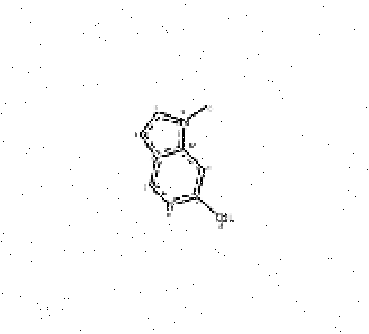 Cn1ccc2cnc(C(C)(C)C)cc21